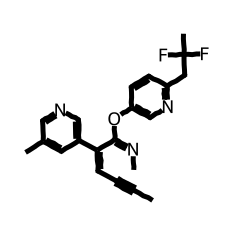 CC#C/C=C(\C(=N/C)Oc1ccc(CC(C)(F)F)nc1)c1cncc(C)c1